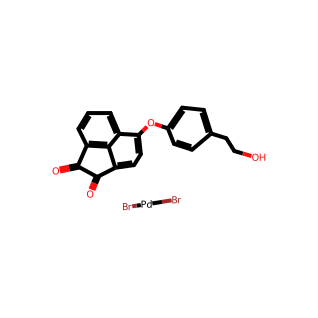 O=C1C(=O)c2ccc(Oc3ccc(CCO)cc3)c3cccc1c23.[Br][Pd][Br]